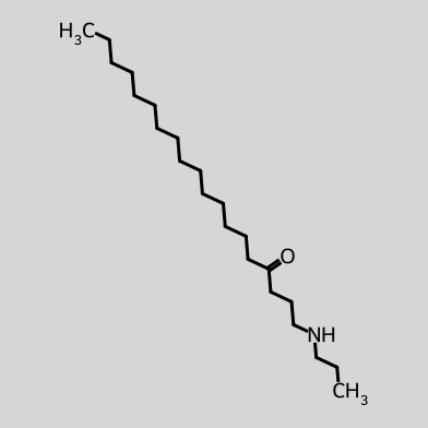 CCCCCCCCCCCCCCCC(=O)CCCNCCC